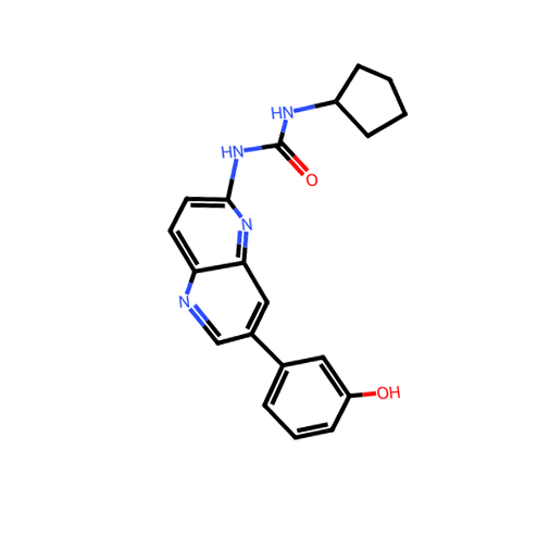 O=C(Nc1ccc2ncc(-c3cccc(O)c3)cc2n1)NC1CCCC1